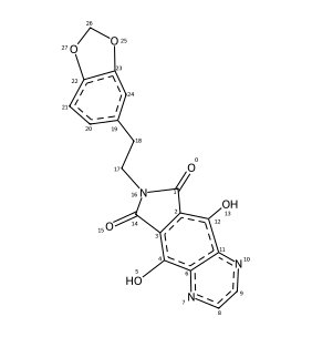 O=C1c2c(c(O)c3nccnc3c2O)C(=O)N1CCc1ccc2c(c1)OCO2